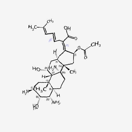 CC(=O)O[C@H]1C[C@@]2(C)[C@@H](C[C@@H](O)[C@H]3[C@@]4(C)C[C@H](N)[C@@H](O)[C@@H](N)[C@@H]4CC[C@@]32N)/C1=C(\C=C\C=C(C)C)C(=O)O